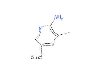 Cc1cc(C=O)cnc1N